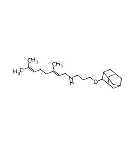 CC(C)=CCC/C(C)=C/CNCCCOC1C2CC3CC(C2)CC1C3